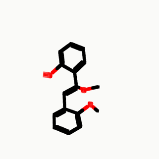 COC(=Cc1ccccc1OC)c1ccccc1O